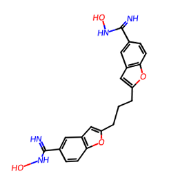 N=C(NO)c1ccc2oc(CCCc3cc4cc(C(=N)NO)ccc4o3)cc2c1